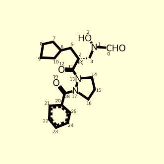 O=CN(O)C[C@@H](CC1CCCC1)C(=O)N1CCCN1C(=O)c1ccccc1